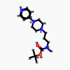 CN(CCCN1CCN(c2ccncc2)CC1)C(=O)OC(C)(C)C